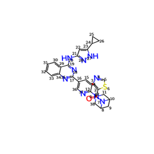 O=C(c1cncs1)N1C2CC1CN(c1ccc(-c3nc(Nc4cc(C5CC5)[nH]n4)c4ccccc4n3)cn1)C2